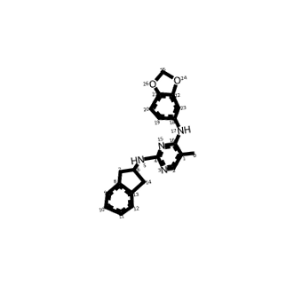 Cc1cnc(NC2Cc3ccccc3C2)nc1Nc1ccc2c(c1)OCO2